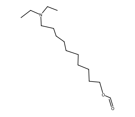 CCN(CC)CCCCCCCCCCOC=O